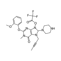 CC#CCN1c2c(nc(Oc3ccccc3OC)n(C)c2=O)N(OC(=O)C(F)(F)F)C1N1CCNCC1